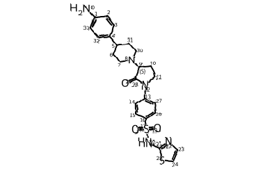 Nc1ccc(C2CCN([C@H]3CCN(c4ccc(S(=O)(=O)Nc5nccs5)cc4)C3=O)CC2)cc1